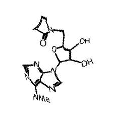 CNc1ncnc2c1ncn2C1OC(CN2CC=CC2=O)C(O)C1O